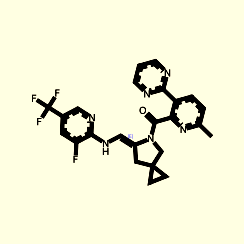 Cc1ccc(-c2ncccn2)c(C(=O)N2CC3(CC3)C/C2=C\Nc2ncc(C(F)(F)F)cc2F)n1